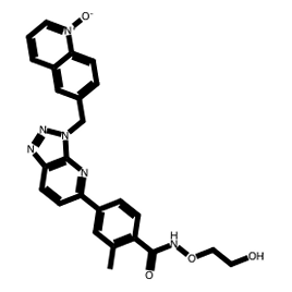 Cc1cc(-c2ccc3nnn(Cc4ccc5c(ccc[n+]5[O-])c4)c3n2)ccc1C(=O)NOCCO